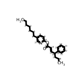 CCCCCCCc1ccc(OC(=O)/C=C/C(CCC)c2ccccc2)nc1